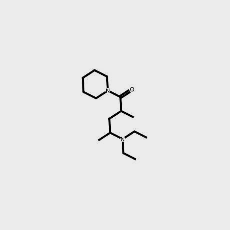 CCN(CC)C(C)CC(C)C(=O)N1CCCCC1